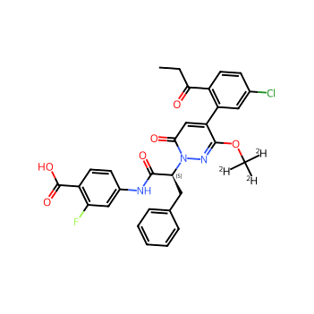 [2H]C([2H])([2H])Oc1nn([C@@H](Cc2ccccc2)C(=O)Nc2ccc(C(=O)O)c(F)c2)c(=O)cc1-c1cc(Cl)ccc1C(=O)CC